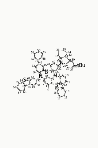 Cc1cc2c3c(c1)N(c1cccc4c1sc1ccccc14)c1cc(N4c5ccc(C(C)(C)C)cc5C5(C)CCCCC45C)ccc1B3c1cc(-c3ccccc3)ccc1N2c1ccc2c(c1)sc1ccccc12